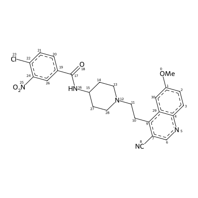 COc1ccc2ncc(C#N)c(CCN3CCC(NC(=O)c4ccc(Cl)c([N+](=O)[O-])c4)CC3)c2c1